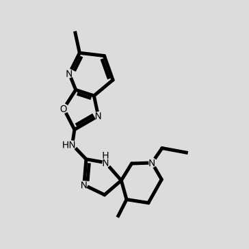 CCN1CCC(C)C2(CN=C(Nc3nc4ccc(C)nc4o3)N2)C1